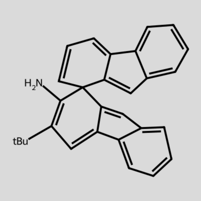 CC(C)(C)C1=C(N)C2(C=CC=C3C2=Cc2ccccc23)C2=Cc3ccccc3C2=C1